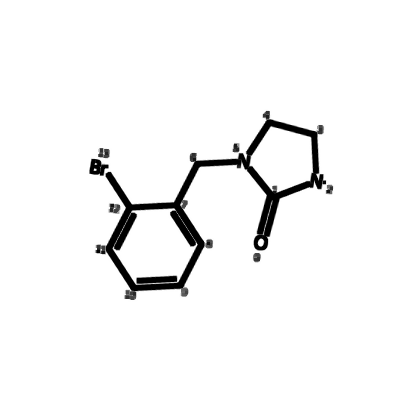 O=C1[N]CCN1Cc1ccccc1Br